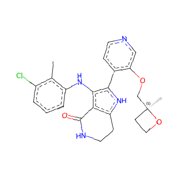 Cc1c(Cl)cccc1Nc1c(-c2ccncc2OC[C@]2(C)CCO2)[nH]c2c1C(=O)NCC2